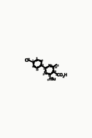 CCCCc1nc(-c2ccc(Cl)cc2)nc(C)c1C(=O)O